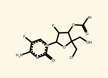 CC(C)C(=O)OC1C(F)C(n2cc(F)c(N)nc2=O)OC1(CO)CCl